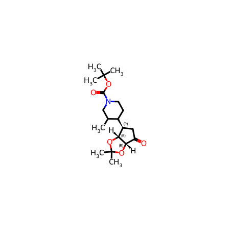 CC1CN(C(=O)OC(C)(C)C)CCC1[C@H]1CC(=O)[C@@H]2OC(C)(C)O[C@H]12